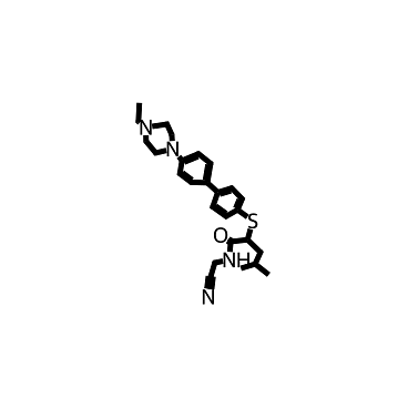 CCN1CCN(c2ccc(-c3ccc(SC(CC(C)C)C(=O)NCC#N)cc3)cc2)CC1